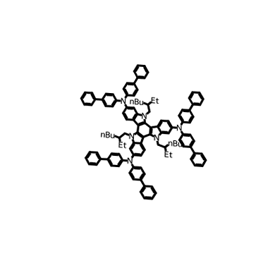 CCCCC(CC)Cn1c2cc(N(c3ccc(-c4ccccc4)cc3)c3ccc(-c4ccccc4)cc3)ccc2c2c1c1c3ccc(N(c4ccc(-c5ccccc5)cc4)c4ccc(-c5ccccc5)cc4)cc3n(CC(CC)CCCC)c1c1c3ccc(N(c4ccc(-c5ccccc5)cc4)c4ccc(-c5ccccc5)cc4)cc3n(CC(CC)CCCC)c21